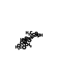 Cc1cccc(C)c1-c1nc(NS(=O)(=O)c2cccc(N(CCCC(=O)O)CC(C)C)n2)ccc1Cl